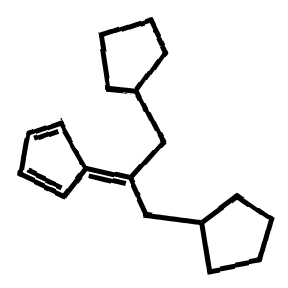 [C]1=CC=CC1=C(CC1CCCC1)CC1CCCC1